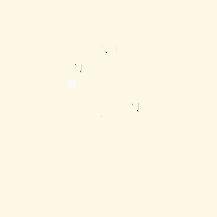 CC(C)C(=N)/C=N\N